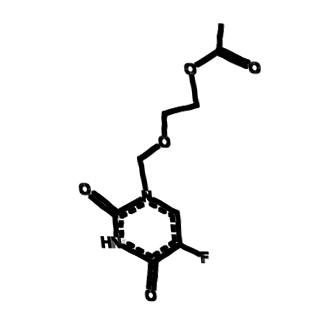 CC(=O)OCCOCn1cc(F)c(=O)[nH]c1=O